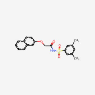 Cc1cc(C)cc(S(=O)(=O)NC(=O)COc2ccc3ccccc3c2)c1